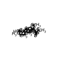 CC(=O)O[C@H]1CC[C@]2(C)[C@H]3C(=O)C=C4[C@@H]5C[C@@](C)(C(=O)O)CC[C@]5(C)CC[C@@]4(C)[C@]3(C)CC[C@H]2C1(C)C(=O)OCc1oc(=O)oc1C(C)C